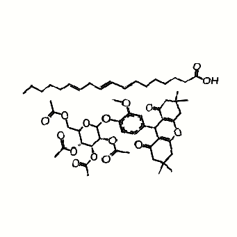 CCCCCC=CCC=CCCCCCCCC(=O)O.COc1cc(C2C3=C(CC(C)(C)CC3=O)OC3=C2C(=O)CC(C)(C)C3)ccc1OC1OC(COC(C)=O)[C@@H](OC(C)=O)[C@H](OC(C)=O)[C@@H]1OC(C)=O